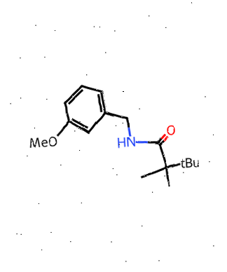 COc1cccc(CNC(=O)C(C)(C)C(C)(C)C)c1